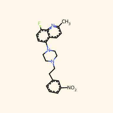 Cc1ccc2c(N3CCN(CCc4cccc([N+](=O)[O-])c4)CC3)ccc(F)c2n1